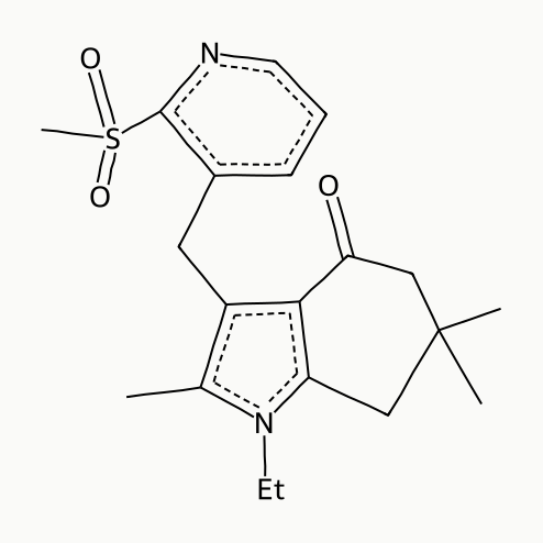 CCn1c(C)c(Cc2cccnc2S(C)(=O)=O)c2c1CC(C)(C)CC2=O